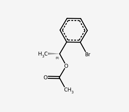 CC(=O)O[C@H](C)c1ccccc1Br